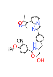 [C-]#[N+]c1cc(C(=O)N[C@H](CCO)Cc2ccc(-c3cn4cccc(-c5c(C)noc5C)c4n3)cc2)ccc1OC(C)C